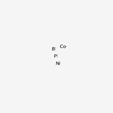 [B].[Co].[Ni].[P]